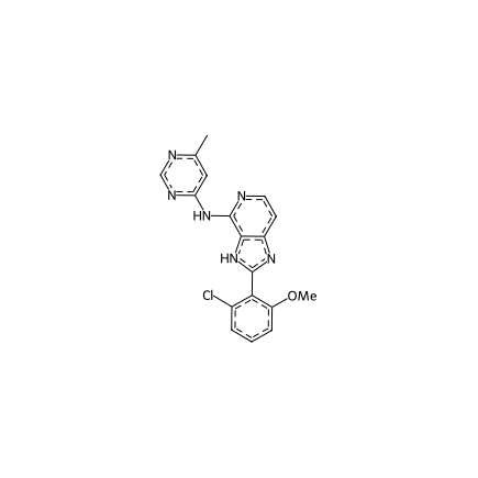 COc1cccc(Cl)c1-c1nc2ccnc(Nc3cc(C)ncn3)c2[nH]1